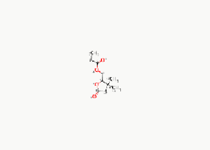 C=CC(=O)OCC1OC(=O)CC1(C)C